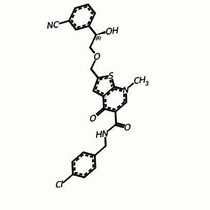 Cn1cc(C(=O)NCc2ccc(Cl)cc2)c(=O)c2cc(COC[C@H](O)c3cccc(C#N)c3)sc21